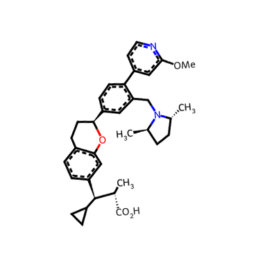 COc1cc(-c2ccc([C@@H]3CCc4ccc([C@H](C5CC5)[C@H](C)C(=O)O)cc4O3)cc2CN2[C@H](C)CC[C@H]2C)ccn1